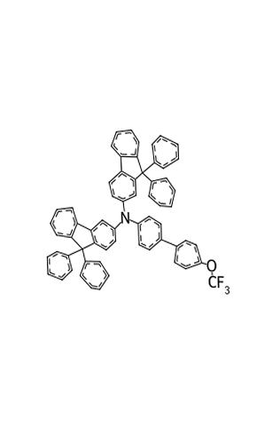 FC(F)(F)Oc1ccc(-c2ccc(N(c3ccc4c(c3)-c3ccccc3C4(c3ccccc3)c3ccccc3)c3ccc4c(c3)C(c3ccccc3)(c3ccccc3)c3ccccc3-4)cc2)cc1